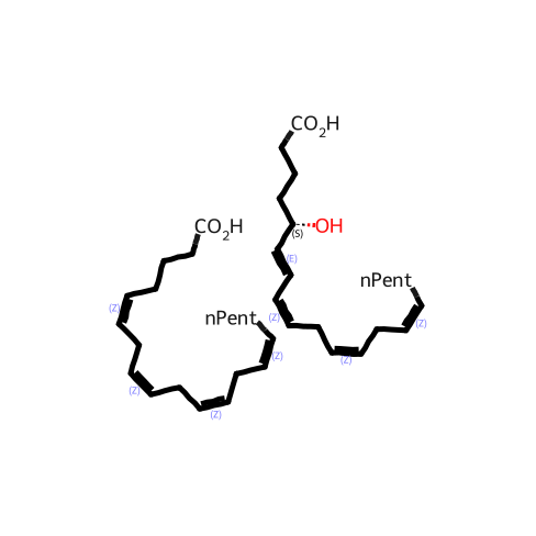 CCCCC/C=C\C/C=C\C/C=C\C/C=C\CCCC(=O)O.CCCCC/C=C\C/C=C\C/C=C\C=C\[C@@H](O)CCCC(=O)O